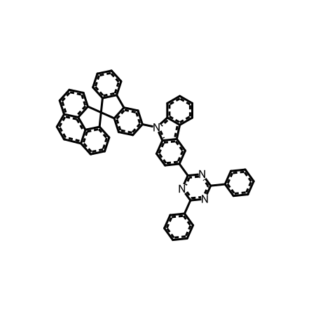 c1ccc(-c2nc(-c3ccccc3)nc(-c3ccc4c(c3)c3ccccc3n4-c3ccc4c(c3)-c3ccccc3C43c4cccc5ccc6cccc3c6c45)n2)cc1